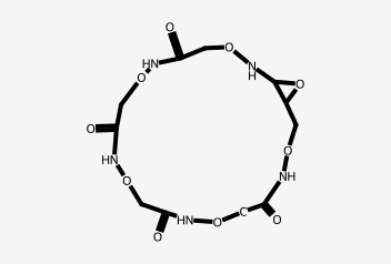 O=C1CONC(=O)CONC(=O)CONC2OC2CONC(=O)CON1